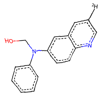 [2H]c1cnc2ccc(N(CO)c3ccccc3)cc2c1